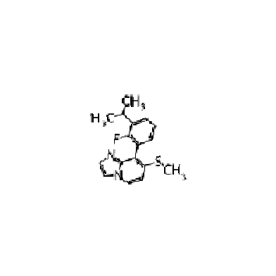 CSc1ccn2ccnc2c1-c1cccc(C(C)C)c1F